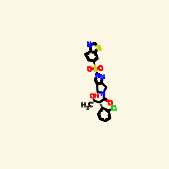 C[C@H](O)[C@H](C(=O)N1Cc2cn(S(=O)(=O)c3ccc4ncsc4c3)nc2C1)c1ccccc1Cl